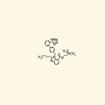 CCCCc1nc2cccc(C(=O)OCCN(C)C)c2n1Cc1ccc(-c2ccccc2-c2nnn[nH]2)cc1